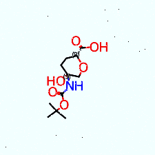 CC(C)(C)OC(=O)N[C@]1(O)CC[C@H](C(=O)O)OC1